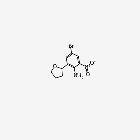 Nc1c(C2CCCO2)cc(Br)cc1[N+](=O)[O-]